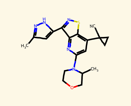 Cc1cc(-c2nsc3c(C4(C#N)CC4)cc(N4CCOCC4C)nc23)[nH]n1